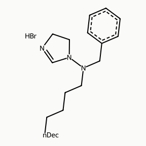 Br.CCCCCCCCCCCCCCN(Cc1ccccc1)N1C=NCC1